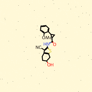 COc1ccccc1C1CC1C(=O)Nc1sc2c(c1C#N)CCC(O)C2